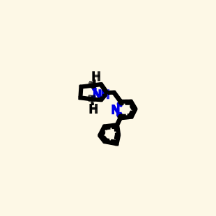 c1ccc(-c2cccc(CC3C[C@H]4CC[C@@H](C3)N4)n2)cc1